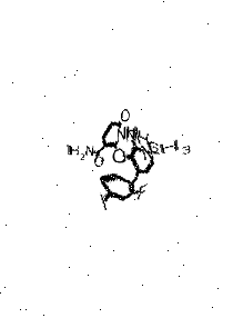 CN1C=CC(c2ccc(I)cc2F)=C(Oc2[nH]c(=O)ccc2C(N)=O)C1N